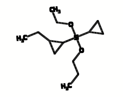 CCCO[Si](OCC)(C1CC1)C1CC1CC